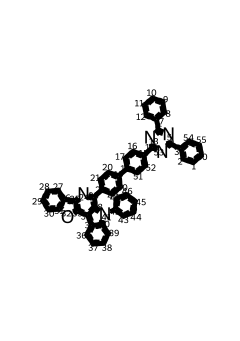 c1ccc(-c2nc(-c3ccccc3)nc(-c3ccc(-c4ccc(-c5nc6c7ccccc7oc6c6c7ccccc7n(-c7ccccc7)c56)cc4)cc3)n2)cc1